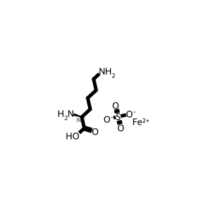 NCCCC[C@H](N)C(=O)O.O=S(=O)([O-])[O-].[Fe+2]